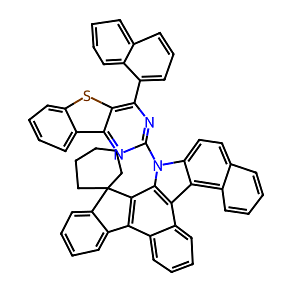 c1ccc2c(c1)-c1c(c3c(c4ccccc14)c1c4ccccc4ccc1n3-c1nc(-c3cccc4ccccc34)c3sc4ccccc4c3n1)C21CCCCC1